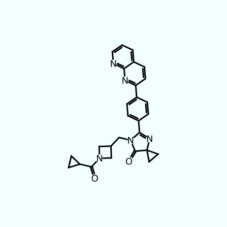 O=C(C1CC1)N1CC(CN2C(=O)C3(CC3)N=C2c2ccc(-c3ccc4cccnc4n3)cc2)C1